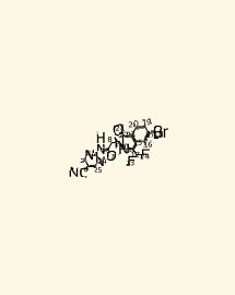 N#Cc1cnc(NC(=O)Cn2nc(C(F)F)c3cc(Br)ccc3c2=O)nc1